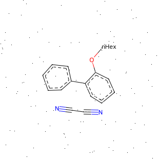 CCCCCCOc1ccccc1-c1ccccc1.N#CC#N